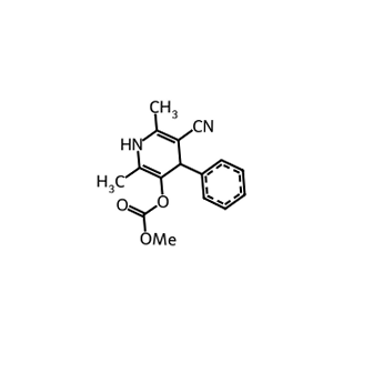 COC(=O)OC1=C(C)NC(C)=C(C#N)C1c1ccccc1